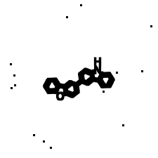 c1ccc2c(c1)[nH]c1ccc(-c3ccc4oc5ccccc5c4c3)cc12